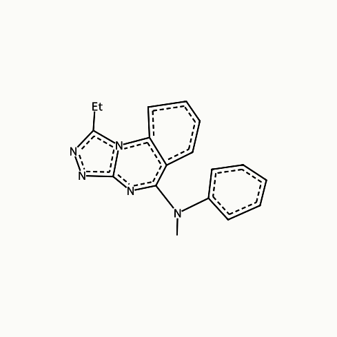 CCc1nnc2nc(N(C)c3ccccc3)c3ccccc3n12